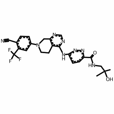 CC(C)(O)CNC(=O)c1ccc(Nc2ncnc3c2CCN(c2ccc(C#N)c(C(F)(F)F)c2)C3)nn1